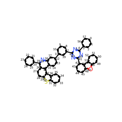 c1ccc(-c2nc(-c3cccc(-c4ccc5c(c4)nc(-c4ccccc4)c4ccc6sc7ccccc7c6c45)c3)nc(-c3cccc4oc5ccccc5c34)n2)cc1